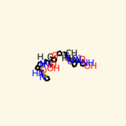 Cc1c(O[C@H]2CC[C@H](C[C@@H](C)CN3CCN(c4cccc5c(C6CCC(O)NC6=O)nn(C)c45)CC3)CC2)cccc1-c1ccc(N2CCc3cccc(C(=O)Nc4nc5ccccc5s4)c3C2)nc1C(=O)O